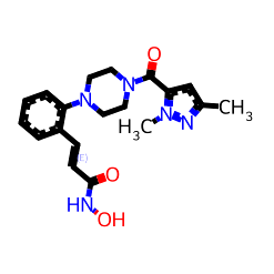 Cc1cc(C(=O)N2CCN(c3ccccc3/C=C/C(=O)NO)CC2)n(C)n1